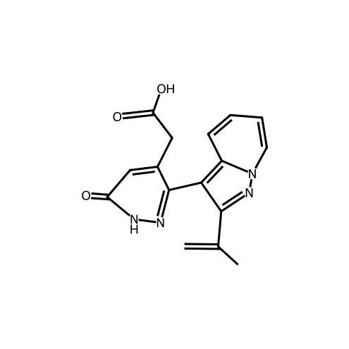 C=C(C)c1nn2ccccc2c1-c1n[nH]c(=O)cc1CC(=O)O